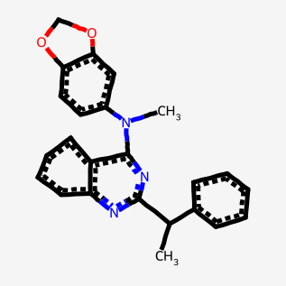 CC(c1ccccc1)c1nc(N(C)c2ccc3c(c2)OCO3)c2ccccc2n1